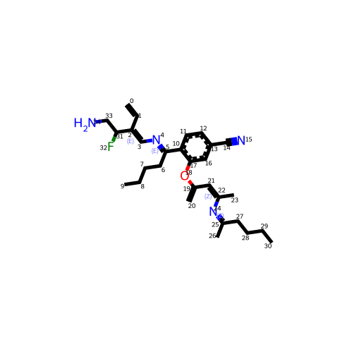 C=C/C(=C\N=C(/CCCC)c1ccc(C#N)cc1OC(=C)/C=C(C)\N=C(\C)CCCC)C(F)CN